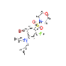 CN(CC1CC1)c1cc(F)c(S(=O)(=O)N2CCOCC2)cc1Br